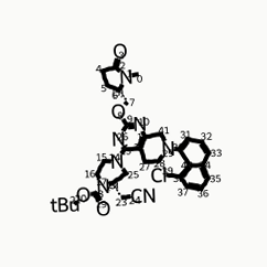 CN1C(=O)CC[C@H]1COc1nc2c(c(N3CCN(C(=O)OC(C)(C)C)[C@@H](CC#N)C3)n1)CCN(c1cccc3cccc(Cl)c13)C2